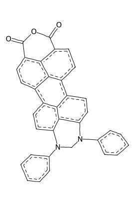 O=C1OC(=O)c2ccc3c4ccc5c6c(ccc(c7ccc1c2c73)c64)N(c1ccccc1)CN5c1ccccc1